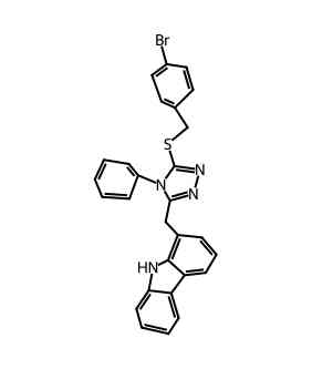 Brc1ccc(CSc2nnc(Cc3cccc4c3[nH]c3ccccc34)n2-c2ccccc2)cc1